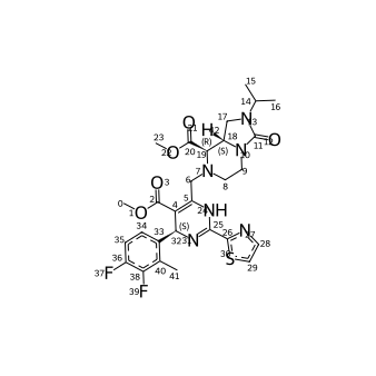 COC(=O)C1=C(CN2CCN3C(=O)N(C(C)C)C[C@H]3[C@@H]2C(=O)OC)NC(c2nccs2)=N[C@H]1c1ccc(F)c(F)c1C